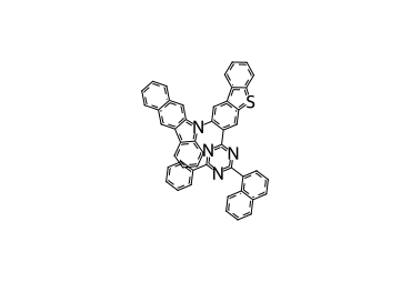 c1ccc(-c2nc(-c3cc4sc5ccccc5c4cc3-n3c4ccccc4c4cc5ccccc5cc43)nc(-c3cccc4ccccc34)n2)cc1